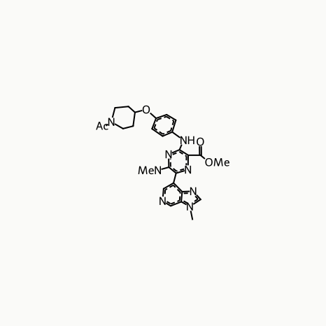 CNc1nc(Nc2ccc(OC3CCN(C(C)=O)CC3)cc2)c(C(=O)OC)nc1-c1cncc2c1ncn2C